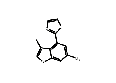 Cc1[c]sc2cc(C(F)(F)F)cc(-c3nccs3)c12